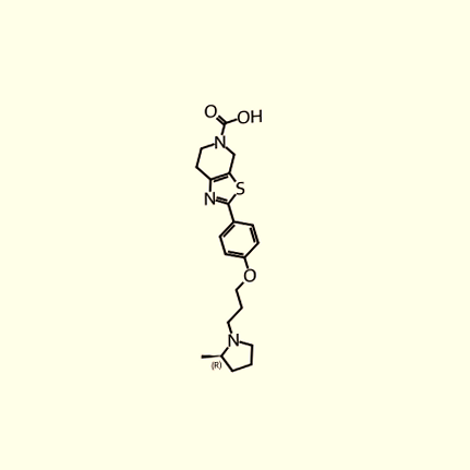 C[C@@H]1CCCN1CCCOc1ccc(-c2nc3c(s2)CN(C(=O)O)CC3)cc1